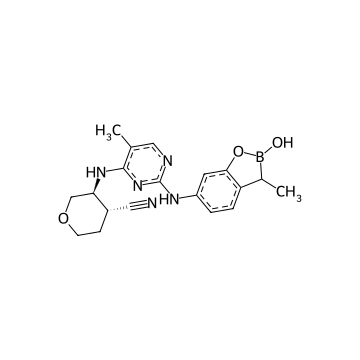 Cc1cnc(Nc2ccc3c(c2)OB(O)C3C)nc1N[C@@H]1COCC[C@H]1C#N